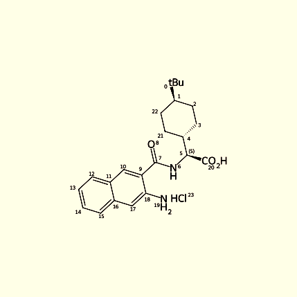 CC(C)(C)[C@H]1CC[C@H]([C@H](NC(=O)c2cc3ccccc3cc2N)C(=O)O)CC1.Cl